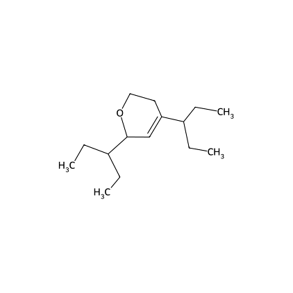 CCC(CC)C1=CC(C(CC)CC)OCC1